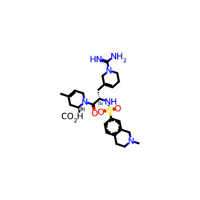 CC1=CCN(C(=O)[C@H](CC2=CCCN(C(=N)N)C2)NS(=O)(=O)c2ccc3c(c2)CN(C)CC3)[C@@H](C(=O)O)C1